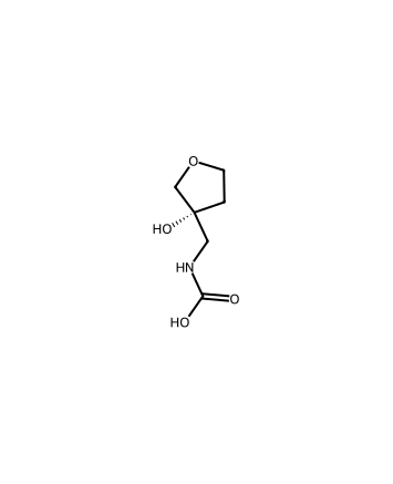 O=C(O)NC[C@]1(O)CCOC1